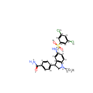 NC(=O)c1ccc(C2CN(C(=O)O)c3ccc(NS(=O)(=O)c4cc(Cl)cc(Cl)c4)cc32)cc1